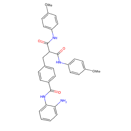 COc1ccc(NC(=O)C(Cc2ccc(C(=O)Nc3ccccc3N)cc2)C(=O)Nc2ccc(OC)cc2)cc1